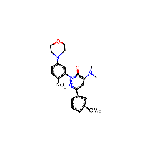 COc1cccc(-c2cc(N(C)C)c(=O)n(-c3cc(N4CCOCC4)ccc3[N+](=O)[O-])n2)c1